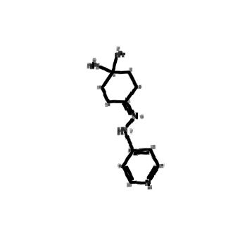 CCCC1(CCC)CCC(=NNc2ccncc2)CC1